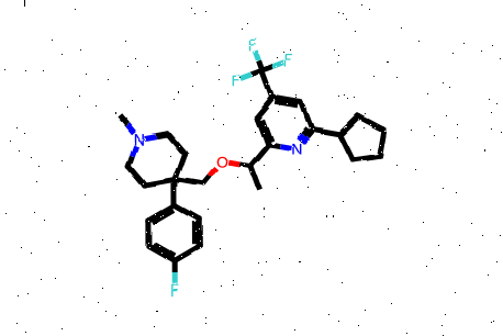 CC(OCC1(c2ccc(F)cc2)CCN(C)CC1)c1cc(C(F)(F)F)cc(C2CCCC2)n1